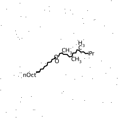 CCCCCCCC/C=C/CCCCCCCC(=O)OCCC(C)CCCC(C)CCCC(C)CCCC(C)C